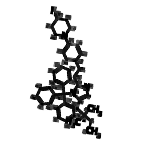 CCC(C)(C)Cc1cnc(CCc2ccc(N3CCC(F)CC3)cc2)n1C(c1ccccc1)(c1ccccc1)c1ccccc1